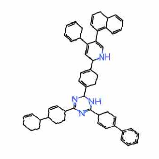 C1=CCC(C2=CC(C3=CC=C(C4N=C(C5C=CC(C6C=CCCC6)CC5)N=C(C5C=CC(c6ccccc6)=CC5)N4)CC3)NC=C2C2=C3C=CC=CC3CC=C2)C=C1